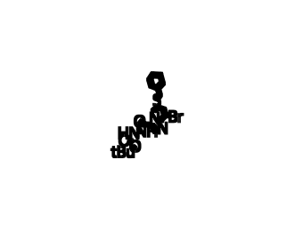 CC(C)(C)OC(=O)NNC(=O)c1cnc2c(Br)cc(SCc3ccccc3)cn12